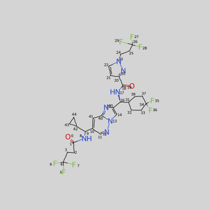 O=C(CCC(F)(F)F)NC(c1cnn2cc([C@@H](NC(=O)c3ccn(CCC(F)(F)F)n3)C3CCC(F)(F)CC3)nc2c1)C1CC1